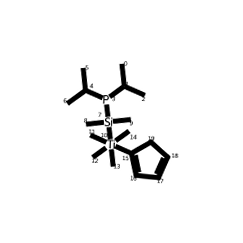 CC(C)P(C(C)C)[Si](C)(C)[Ti]([CH3])([CH3])([CH3])([CH3])[C]1=CC=CC1